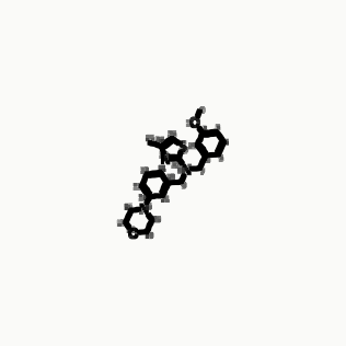 COc1cccc(CN(Cc2cccc(N3CCOCC3)c2)c2nc(C)cs2)c1